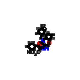 CCc1ccc(CN2C(=O)[C@@H](N[C@@H](CC3CCCCC3)C(=O)O)COc3ccccc32)cc1